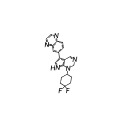 FC1(F)CCC(N2CN=Cc3c(-c4ccc5nccnc5c4)c[nH]c32)CC1